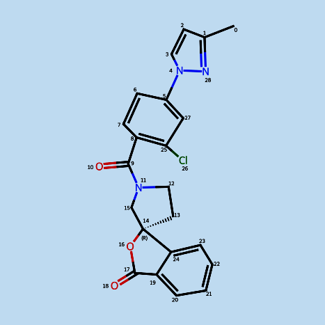 Cc1ccn(-c2ccc(C(=O)N3CC[C@@]4(C3)OC(=O)c3ccccc34)c(Cl)c2)n1